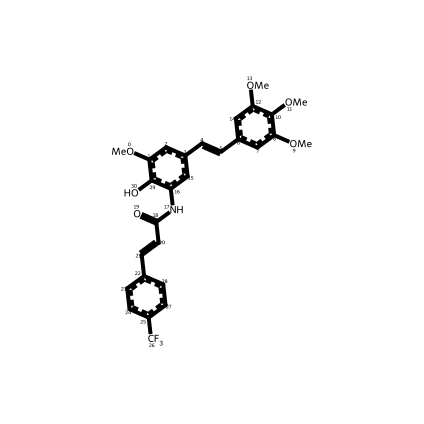 COc1cc(/C=C/c2cc(OC)c(OC)c(OC)c2)cc(NC(=O)/C=C/c2ccc(C(F)(F)F)cc2)c1O